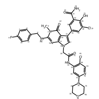 Cn1c(NCc2ccc(F)cc2)nc2c(c(-c3cc(Cl)c(O)c(C(N)=O)c3)cn2CC(=O)Nc2cc(N3CCOCC3)ncc2Cl)c1=O